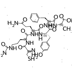 C[C@H](NC(=O)[C@H](Cc1ccccc1)NC(=O)[C@H](Cc1ccc(O)cc1)NC(=O)[C@H](CCC(N)=O)NC(=O)[C@H](CCCNC(N)=O)NC(=O)[C@@H](N)CS)C(=O)O